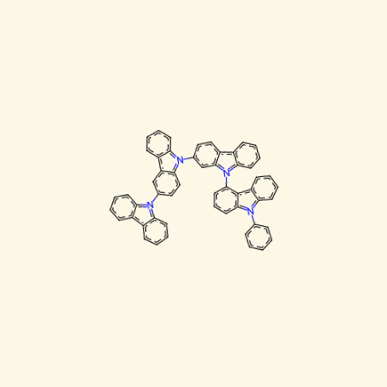 c1ccc(-n2c3ccccc3c3c(-n4c5ccccc5c5ccc(-n6c7ccccc7c7cc(-n8c9ccccc9c9ccccc98)ccc76)cc54)cccc32)cc1